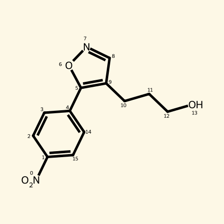 O=[N+]([O-])c1ccc(-c2oncc2CCCO)cc1